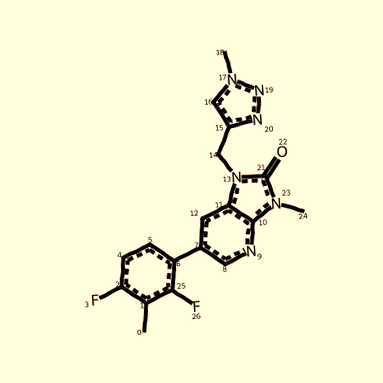 Cc1c(F)ccc(-c2cnc3c(c2)n(Cc2cn(C)nn2)c(=O)n3C)c1F